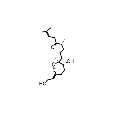 CC(C)=CCC(=O)[C@H](C)CCC[C@]1(C)OCC(=CCO)CC[C@H]1O